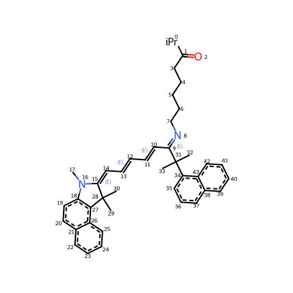 CC(C)C(=O)CCCCC\N=C(/C=C/C=C/C=C1/N(C)c2ccc3ccccc3c2C1(C)C)C(C)(C)c1cccc2ccccc12